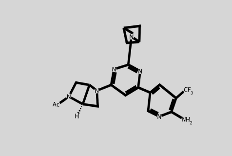 CC(=O)N1CC2[C@H]1CN2c1cc(-c2cnc(N)c(C(F)(F)F)c2)nc(N2CC3CC2C3)n1